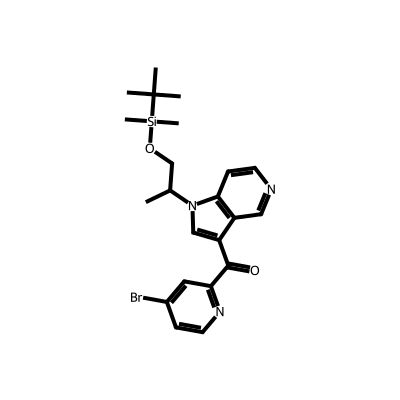 CC(CO[Si](C)(C)C(C)(C)C)n1cc(C(=O)c2cc(Br)ccn2)c2cnccc21